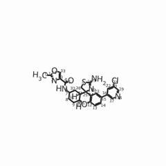 Cc1nc(C(=O)NC2CC[C@@H]3Oc4ccc(-c5cncc(Cl)c5)cc4C4(CSC(N)=N4)[C@H]3C2)co1